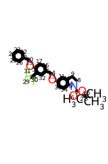 CC(C)(C)OC(=O)N1CCc2cc(OCc3ccc(OCc4ccccc4)c(C(F)(F)F)c3)ccc21